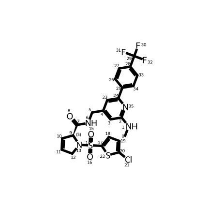 CNc1cc(CNC(=O)[C@@H]2C=CCN2S(=O)(=O)c2ccc(Cl)s2)cc(-c2ccc(C(F)(F)F)cc2)n1